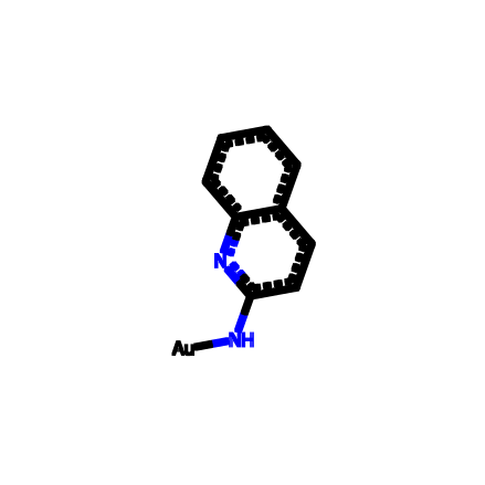 [Au][NH]c1ccc2ccccc2n1